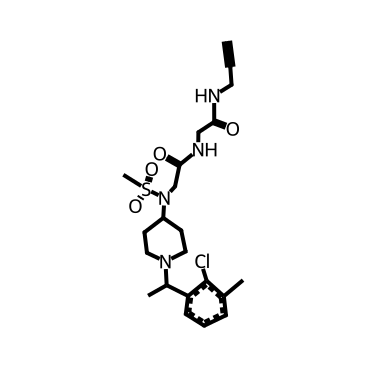 C#CCNC(=O)CNC(=O)CN(C1CCN(C(C)c2cccc(C)c2Cl)CC1)S(C)(=O)=O